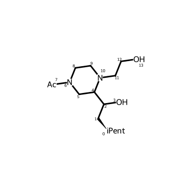 CCC[C@H](C)CC(O)C1CN(C(C)=O)CCN1CCO